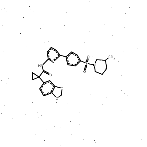 CC1CCCN(S(=O)(=O)c2ccc(-c3cccc(NC(=O)C4(c5ccc6c(c5)OCO6)CC4)n3)cc2)C1